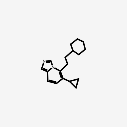 c1cc2cncn2c(CCC2CCCCC2)c1C1CC1